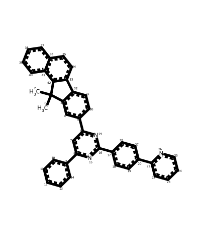 CC1(C)c2cc(-c3cc(-c4ccccc4)nc(-c4ccc(-c5ccccn5)cc4)n3)ccc2-c2ccc3ccccc3c21